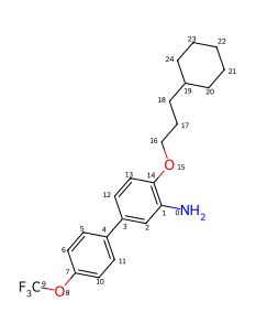 Nc1cc(-c2ccc(OC(F)(F)F)cc2)ccc1OCCCC1CCCCC1